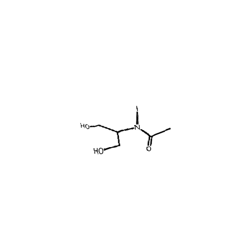 CC(=O)N(I)C(CO)CO